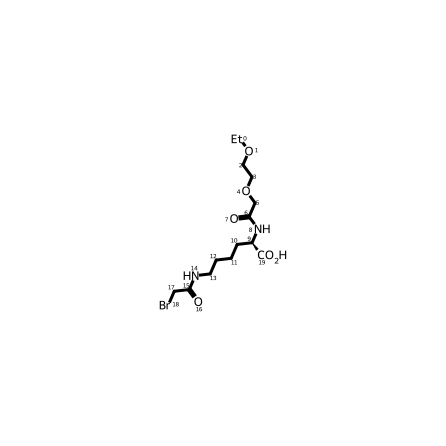 CCOCCOCC(=O)N[C@H](CCCCNC(=O)CBr)C(=O)O